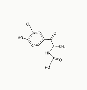 CC(NC(=O)O)C(=O)c1ccc(O)c(Cl)c1